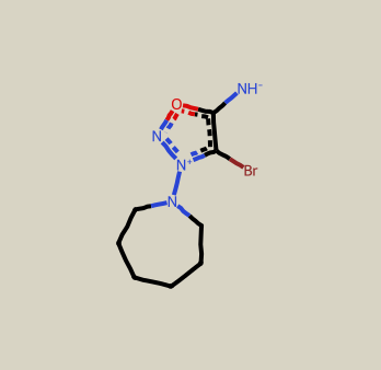 [NH-]c1on[n+](N2CCCCCC2)c1Br